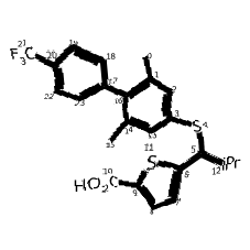 Cc1cc(SC(c2ccc(C(=O)O)s2)C(C)C)cc(C)c1-c1ccc(C(F)(F)F)cc1